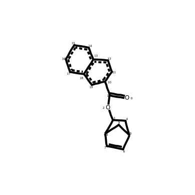 O=C(OC1CC2C=CC1C2)c1ccc2ccccc2c1